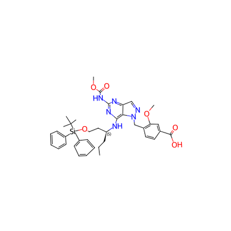 CCC[C@@H](CCO[Si](c1ccccc1)(c1ccccc1)C(C)(C)C)Nc1nc(NC(=O)OC)nc2cnn(Cc3ccc(C(=O)O)cc3OC)c12